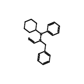 S=CN(Cc1ccccc1)N(c1ccccc1)C1CCCCC1